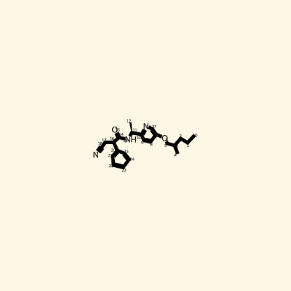 CCCC(C)COc1ccc([C@H](C)NC(=O)C(CC#N)c2ccccc2)nc1